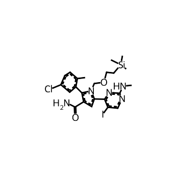 CNc1ncc(I)c(-c2cc(C(N)=O)c(-c3cc(Cl)ccc3C)n2COCC[Si](C)(C)C)n1